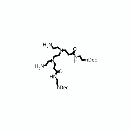 CCCCCCCCCCCCNC(=O)CCN(CCN)CCN(CCN)CCC(=O)NCCCCCCCCCCCC